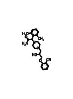 Cc1cccc(C)c1C(C(N)=O)N1CCN(CC(O)COc2ccccc2C#N)CC1